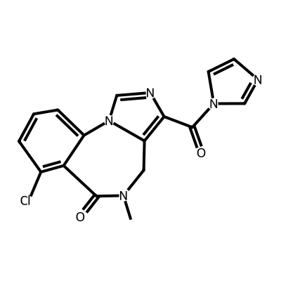 CN1Cc2c(C(=O)n3ccnc3)ncn2-c2cccc(Cl)c2C1=O